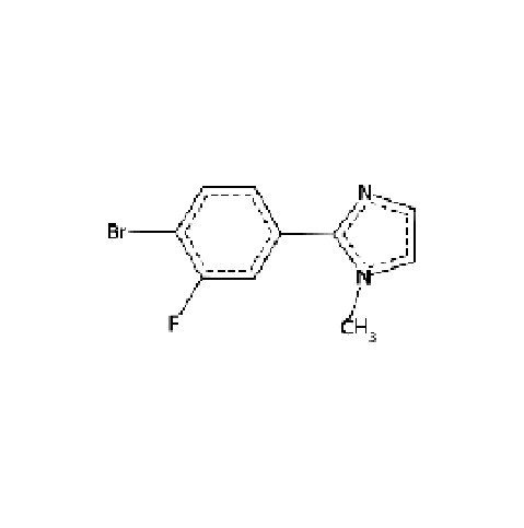 Cn1ccnc1-c1ccc(Br)c(F)c1